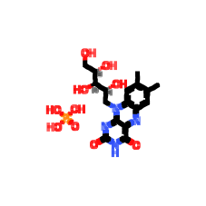 Cc1cc2nc3c(=O)[nH]c(=O)nc-3n(C[C@@H](O)[C@@H](O)[C@@H](O)CO)c2cc1C.O=P(O)(O)O